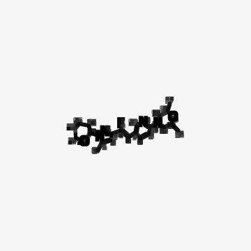 Cc1cc(C(F)=Cc2ccc(N3CC(C)OC(C)C3)nc2)nn1C1CCCCO1